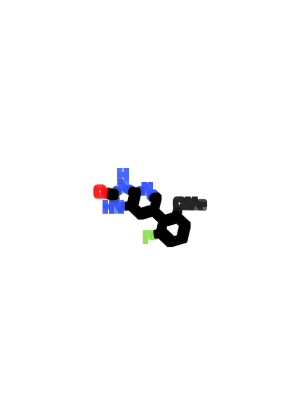 COc1cccc(F)c1-c1cnc2[nH]c(=O)[nH]c2c1